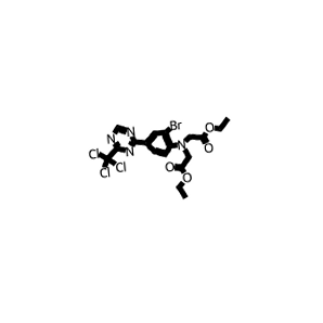 CCOC(=O)CN(CC(=O)OCC)c1ccc(-c2ncnc(C(Cl)(Cl)Cl)n2)cc1Br